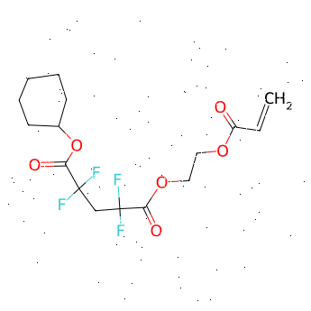 C=CC(=O)OCCOC(=O)C(F)(F)CC(F)(F)C(=O)OC1CCCCC1